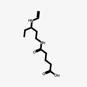 C=CNC(CC)CCNC(=O)CCCC(=O)O